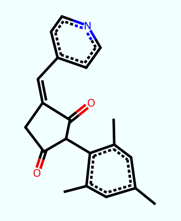 Cc1cc(C)c(C2C(=O)CC(=Cc3ccncc3)C2=O)c(C)c1